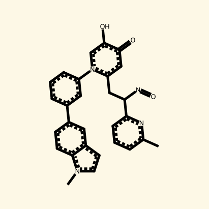 Cc1cccc(C(Cc2cc(=O)c(O)cn2-c2cccc(-c3ccc4c(ccn4C)c3)c2)N=O)n1